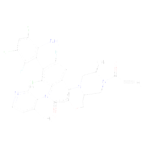 C=CC(=O)N1CC2COc3c(c4cc(F)c(-c5c(N)c(Cl)cc(Cl)c5F)c(Cl)c4n(-c4c(C)ccnc4C(C)C)c3=O)N2CC1C